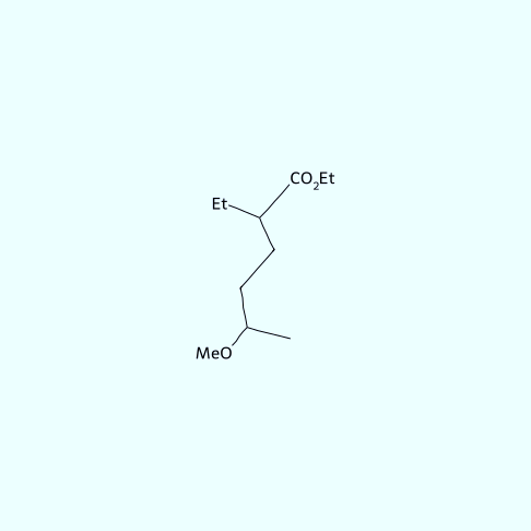 CCOC(=O)C(CC)CCC(C)OC